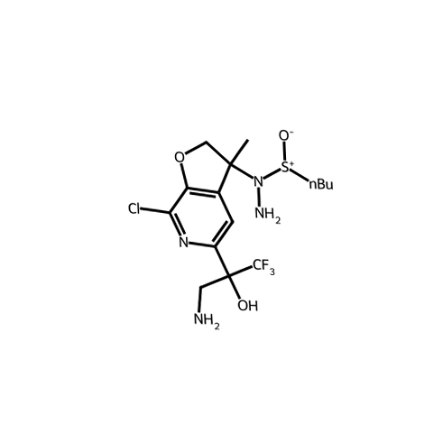 CCCC[S+]([O-])N(N)C1(C)COc2c1cc(C(O)(CN)C(F)(F)F)nc2Cl